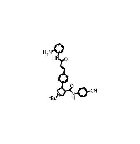 CC(C)(C)N1CC(C(=O)Nc2ccc(C#N)cc2)C(c2ccc(/C=C/C(=O)Nc3ccccc3N)cc2)C1